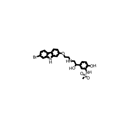 CS(=O)(=O)Nc1cc(C(O)CNCCOc2ccc3c(c2)[nH]c2cc(Br)ccc23)ccc1O